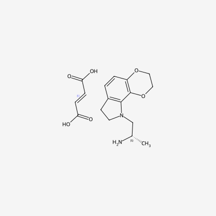 C[C@H](N)CN1CCc2ccc3c(c21)OCCO3.O=C(O)/C=C/C(=O)O